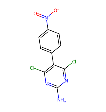 Nc1nc(Cl)c(-c2ccc([N+](=O)[O-])cc2)c(Cl)n1